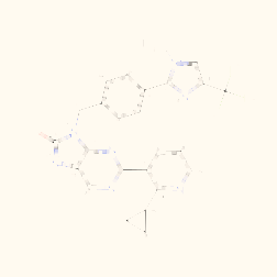 Cn1cc(C(F)(F)F)nc1-c1ccc(Cn2c(=O)[nH]c3cnc(-c4cccnc4C4CC4)nc32)cc1